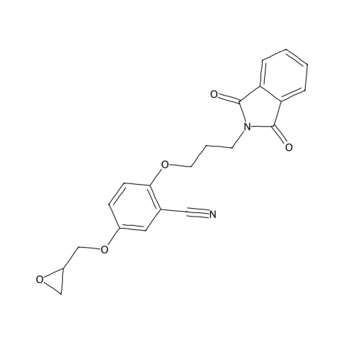 N#Cc1cc(OCC2CO2)ccc1OCCCN1C(=O)c2ccccc2C1=O